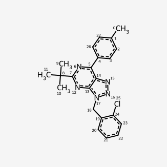 Cc1ccc(-c2nc(C(C)(C)C)nc3c2nnn3Cc2ccccc2Cl)cc1